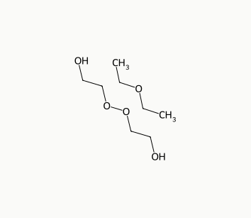 CCOCC.OCCOOCCO